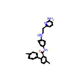 Cc1ccc(-c2ccc(C)cc2C(=O)Nc2ccc(NCCc3cccc(N)n3)cc2)cc1